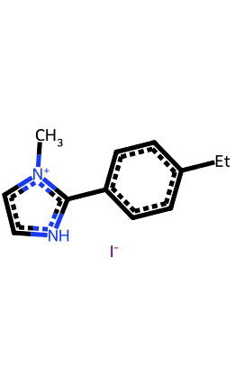 CCc1ccc(-c2[nH]cc[n+]2C)cc1.[I-]